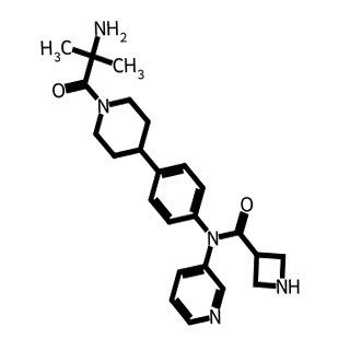 CC(C)(N)C(=O)N1CCC(c2ccc(N(C(=O)C3CNC3)c3cccnc3)cc2)CC1